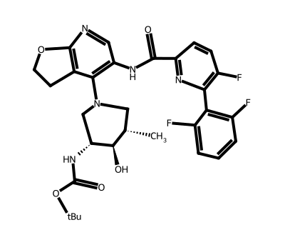 C[C@H]1CN(c2c(NC(=O)c3ccc(F)c(-c4c(F)cccc4F)n3)cnc3c2CCO3)C[C@@H](NC(=O)OC(C)(C)C)[C@@H]1O